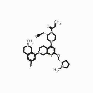 C=CC(=O)N1CCN(c2cc(OC[C@@H]3CCCN3C)nc3c2CCN(c2cc(F)cc4c2CN(C)CC4)C3)C[C@@H]1CC#N